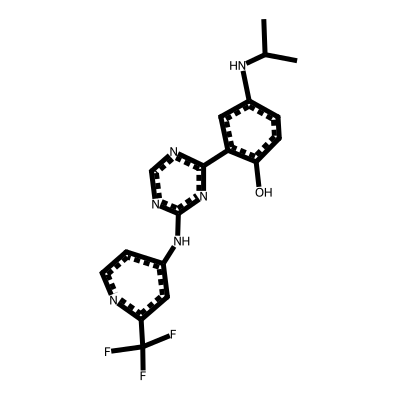 CC(C)Nc1ccc(O)c(-c2ncnc(Nc3ccnc(C(F)(F)F)c3)n2)c1